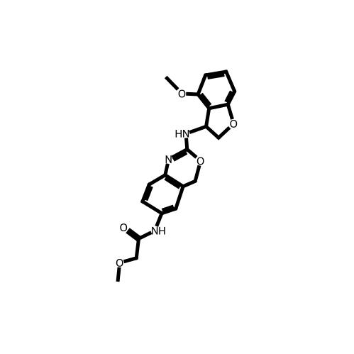 COCC(=O)Nc1ccc2c(c1)COC(NC1COc3cccc(OC)c31)=N2